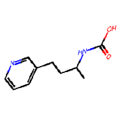 CC(CCc1cccnc1)NC(=O)O